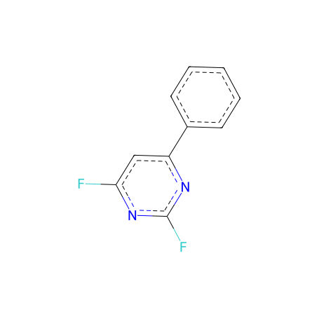 Fc1cc(-c2ccccc2)nc(F)n1